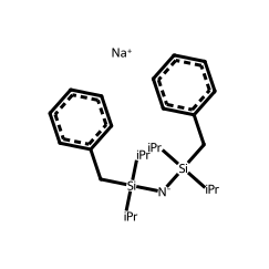 CC(C)[Si](Cc1ccccc1)([N-][Si](Cc1ccccc1)(C(C)C)C(C)C)C(C)C.[Na+]